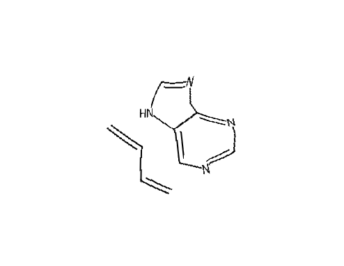 C=CC=C.c1ncc2[nH]cnc2n1